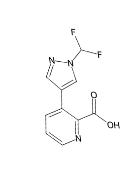 O=C(O)c1ncccc1-c1cnn(C(F)F)c1